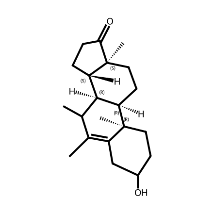 CC1=C2CC(O)CC[C@]2(C)[C@@H]2CC[C@]3(C)C(=O)CC[C@H]3[C@@H]2C1C